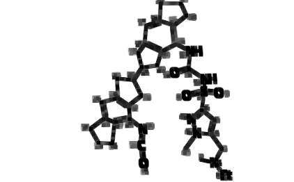 CCN(C)Cc1cc(S(=O)(=O)NC(=O)Nc2c3c(cc4c2CC(C2Cc5cc6c(c(N=C=O)c5C2)CCC6)C4)CCC3)nn1C